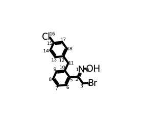 ON=C(CBr)c1ccccc1Cc1ccc(Cl)cc1